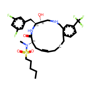 CCCCCS(=O)(=O)N(C)[C@H]1CC=CCCCc2ccc(C(F)(F)F)cc2CNC[C@@H](O)[C@H](Cc2cc(F)cc(F)c2)NC1=O